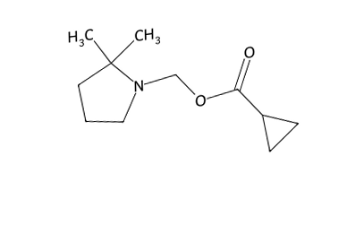 CC1(C)CCCN1COC(=O)C1CC1